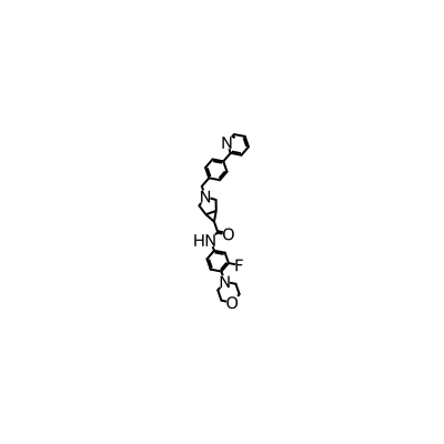 O=C(Nc1ccc(N2CCOCC2)c(F)c1)C1C2CN(Cc3ccc(-c4ccccn4)cc3)CC21